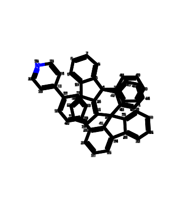 c1ccc(C23c4ccccc4-c4cccc(c42)C2(c4ccccc4-c4cccc(-c5ccc(-c6ccncc6)cc5)c42)c2ccccc23)cc1